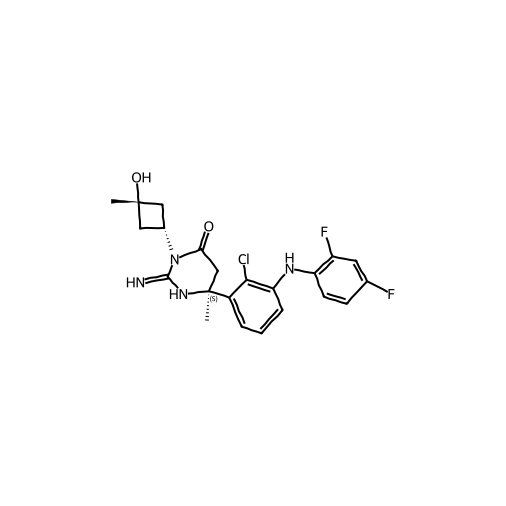 C[C@@]1(c2cccc(Nc3ccc(F)cc3F)c2Cl)CC(=O)N([C@H]2C[C@@](C)(O)C2)C(=N)N1